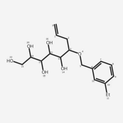 C=CCC(OCc1cccc(CC)c1)C(O)C(O)C(O)C(O)CO